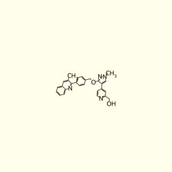 Cc1cc2ccccc2nc1-c1ccc(COc2nn(C)cc2-c2ccnc(CO)c2)cc1